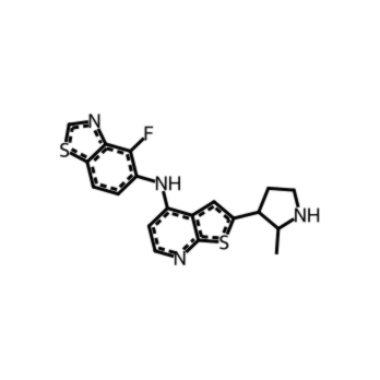 CC1NCCC1c1cc2c(Nc3ccc4scnc4c3F)ccnc2s1